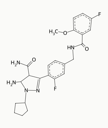 COc1ccc(F)cc1C(=O)NCc1ccc(C2=NN(C3CCCC3)C(N)C2C(N)=O)c(F)c1